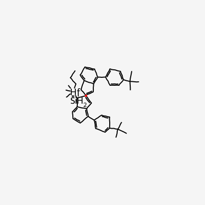 CC[CH2][Hf]([CH3])([CH3])([CH3])(=[SiH2])([CH]1C=Cc2c(-c3ccc(C(C)(C)C)cc3)cccc21)[CH]1C=Cc2c(-c3ccc(C(C)(C)C)cc3)cccc21